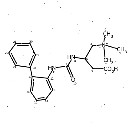 C[N+](C)(C)CC(CC(=O)O)NC(=O)Nc1ccccc1-c1ccccc1